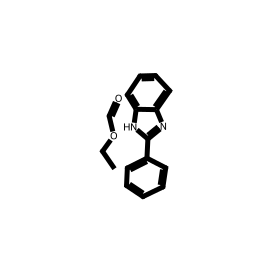 CCOC=O.c1ccc(-c2nc3ccccc3[nH]2)cc1